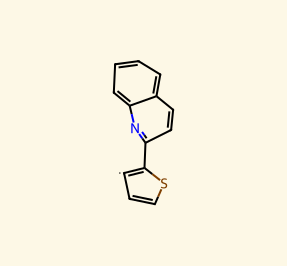 [c]1ccsc1-c1ccc2ccccc2n1